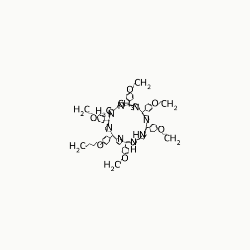 C=CCCCOc1ccc(-c2c3nc(c(-c4ccc(OCC=C)cc4)c4ccc([nH]4)c4ccc([nH]4)c(-c4ccc(OCC=C)cc4)c4nc(c(-c5ccc(OCC=C)cc5)c5nc(c(-c6ccc(OCC=C)cc6)c6ccc(c7ccc(c(-c8ccc(OCC=C)cc8)c8nc2C=C8)n7C)n6C)C=C5)C=C4)C=C3)cc1